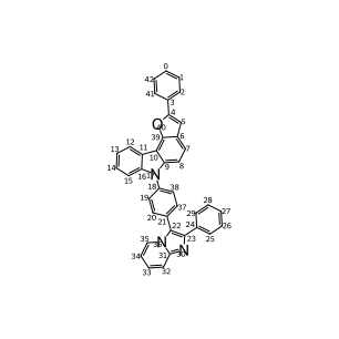 c1ccc(-c2cc3ccc4c(c5ccccc5n4-c4ccc(-c5c(-c6ccccc6)nc6ccccn56)cc4)c3o2)cc1